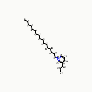 CCCCCCCCCCCCCCCCC[n+]1cccc(CCC)c1